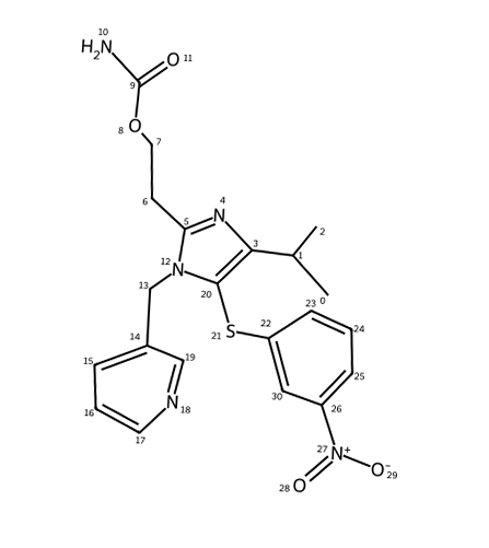 CC(C)c1nc(CCOC(N)=O)n(Cc2cccnc2)c1Sc1cccc([N+](=O)[O-])c1